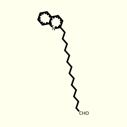 O=CCCCCCCCCCCCCCCc1ccc2ccccc2n1